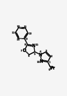 CC(C)c1ccn(C2COC(c3ccccc3)=N2)n1